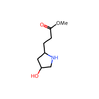 COC(=O)CCC1CC(O)CN1